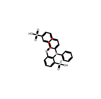 O=S(=O)(O)c1cccc(N=Nc2cccc(S(=O)(=O)O)c2N(c2ccccc2)c2ccccc2)c1